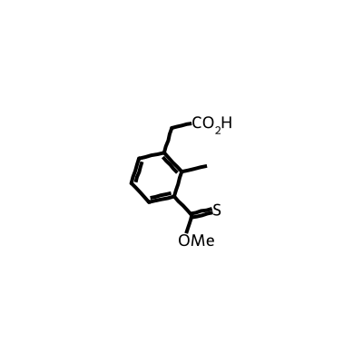 COC(=S)c1cccc(CC(=O)O)c1C